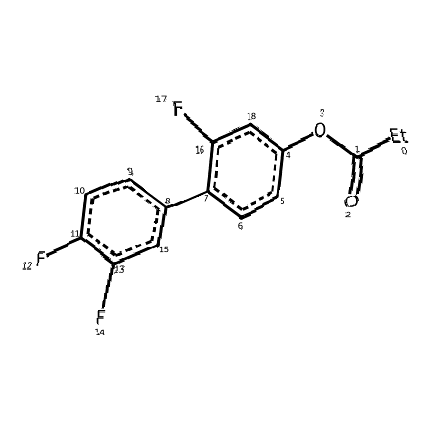 CCC(=O)Oc1ccc(-c2ccc(F)c(F)c2)c(F)c1